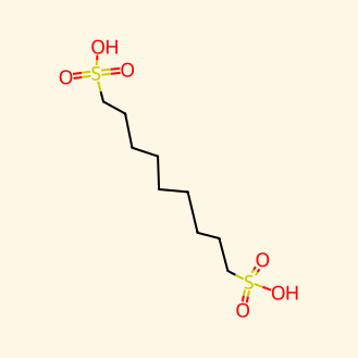 O=S(=O)(O)CCCCCCCCCS(=O)(=O)O